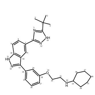 CC(C)(C)c1nc(-c2ccc3[nH]nc(-c4cccc(OCCNC5CCCCC5)c4)c3c2)n[nH]1